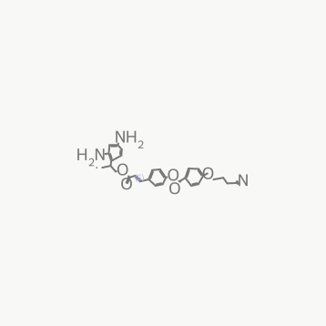 [CH2]C(COC(=O)/C=C/c1ccc(OC(=O)c2ccc(OCCCC#N)cc2)cc1)c1ccc(N)cc1N